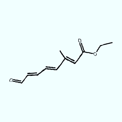 CCOC(=O)/C=C(C)/C=C/C=C/C=O